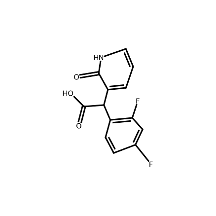 O=C(O)C(c1ccc(F)cc1F)c1ccc[nH]c1=O